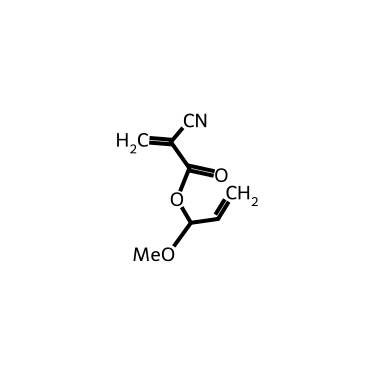 C=CC(OC)OC(=O)C(=C)C#N